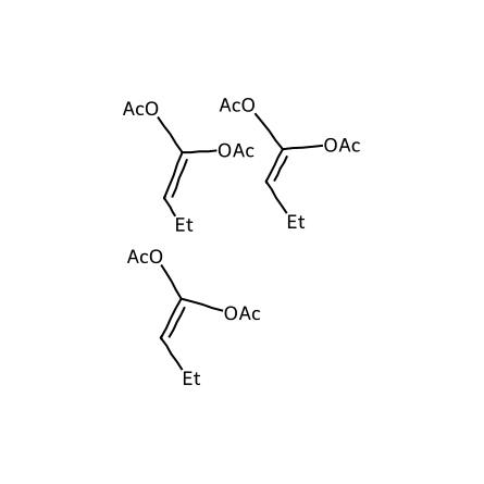 CCC=C(OC(C)=O)OC(C)=O.CCC=C(OC(C)=O)OC(C)=O.CCC=C(OC(C)=O)OC(C)=O